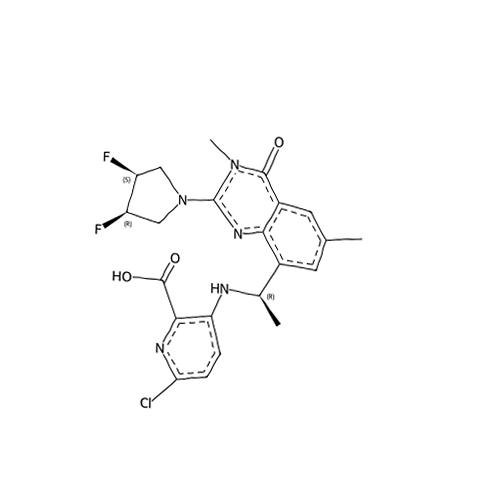 Cc1cc([C@@H](C)Nc2ccc(Cl)nc2C(=O)O)c2nc(N3C[C@@H](F)[C@@H](F)C3)n(C)c(=O)c2c1